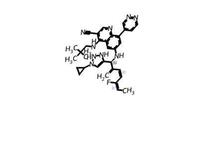 C=C(/C=C\C(F)=C/C)[C@H](Nc1cc(-c2ccnnc2)c2ncc(C#N)c(NCC(C)(C)C)c2c1)C1=CN(C2CC2)NN1